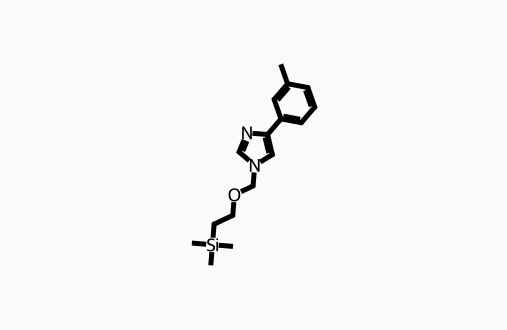 Cc1cccc(-c2cn(COCC[Si](C)(C)C)cn2)c1